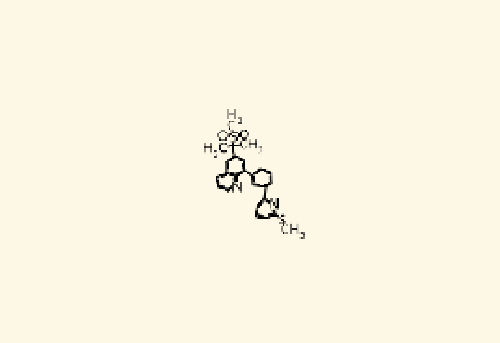 CSc1cccc(-c2cccc(-c3cc(C(C)(C)S(C)(=O)=O)cc4cccnc34)c2)n1